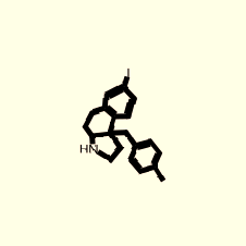 Cc1ccc(CC23CCNC2CCc2cc(I)ccc23)cc1